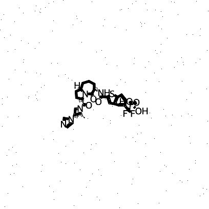 C[C@@H]1[C@@H](n2ccnc2)CN1C(=O)[C@@H]1CC[C@@H]2CCC[C@H](NC(=O)c3cc4cc(C(F)(F)P(=O)(O)O)ccc4s3)C(=O)N21